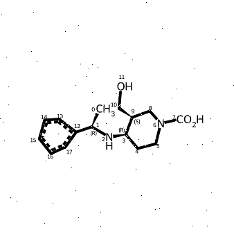 C[C@@H](N[C@@H]1CCN(C(=O)O)C[C@@H]1CO)c1ccccc1